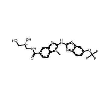 Cn1c(Nc2nc3ccc(OC(F)(F)F)cc3s2)nc2cc(C(=O)NC[C@@H](O)CO)ccc21